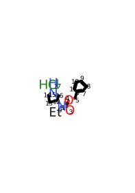 CCN(C(=O)OCc1ccccc1)C1CCNC1.Cl